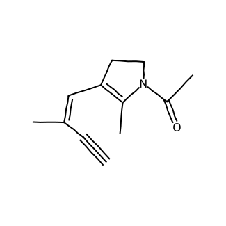 C#C/C(C)=C\C1=C(C)N(C(C)=O)CC1